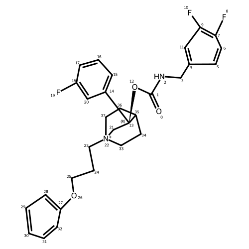 O=C(NCc1ccc(F)c(F)c1)O[C@]1(c2cccc(F)c2)C[N+]2(CCCOc3ccccc3)CCC1CC2